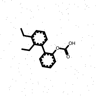 CCc1cccc(-c2ccccc2OC(=O)O)c1CC